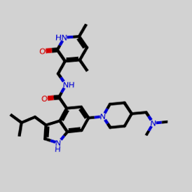 Cc1cc(C)c(CNC(=O)c2cc(N3CCC(CN(C)C)CC3)cc3[nH]cc(CC(C)C)c23)c(=O)[nH]1